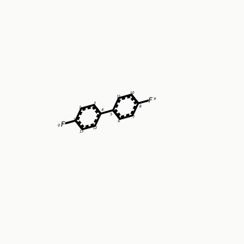 Fc1[c]cc(-c2ccc(F)cc2)cc1